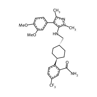 COc1ccc(-c2c(C)nn(C)c2NC[C@H]2CC[C@H](c3ccc(C(F)(F)F)cc3C(N)=O)CC2)cc1OC